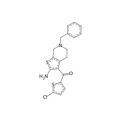 Nc1sc2c(c1C(=O)c1ccc(Cl)s1)CCN(Cc1ccccc1)C2